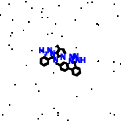 Cc1ccnc2c1N(N)C(c1ccccc1)N2Cc1ccc(-c2ccccc2-c2nnn[nH]2)cc1